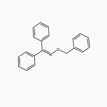 c1ccc(CON=C(c2ccccc2)c2ccccc2)cc1